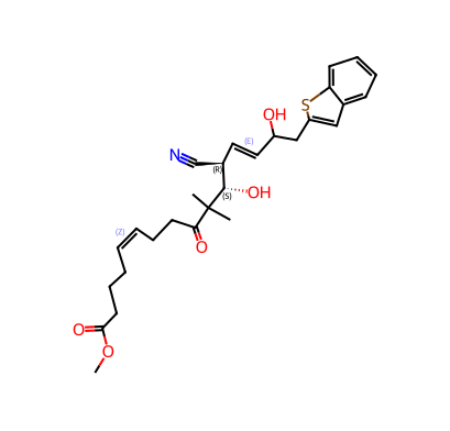 COC(=O)CCC/C=C\CCC(=O)C(C)(C)[C@@H](O)[C@@H](C#N)/C=C/C(O)Cc1cc2ccccc2s1